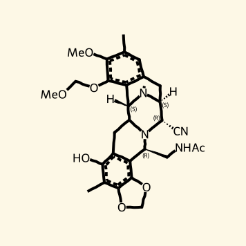 COCOc1c(OC)c(C)cc2c1[C@H]1C3Cc4c(O)c(C)c5c(c4[C@H](CNC(C)=O)N3[C@@H](C#N)[C@H](C2)N1C)OCO5